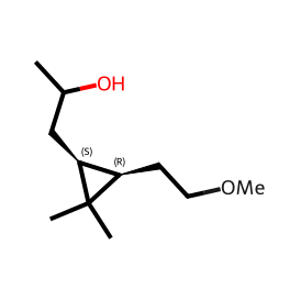 COCC[C@@H]1[C@H](CC(C)O)C1(C)C